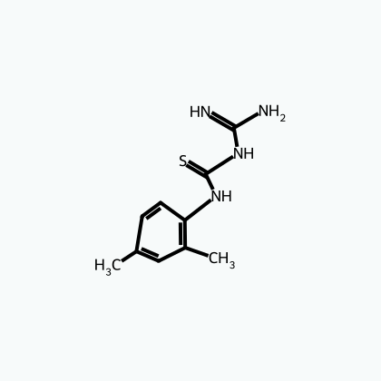 Cc1ccc(NC(=S)NC(=N)N)c(C)c1